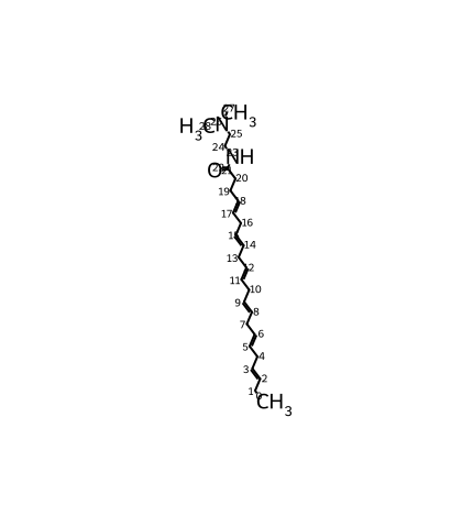 CCC=CCC=CCC=CCC=CCC=CCC=CCCC(=O)NCCN(C)C